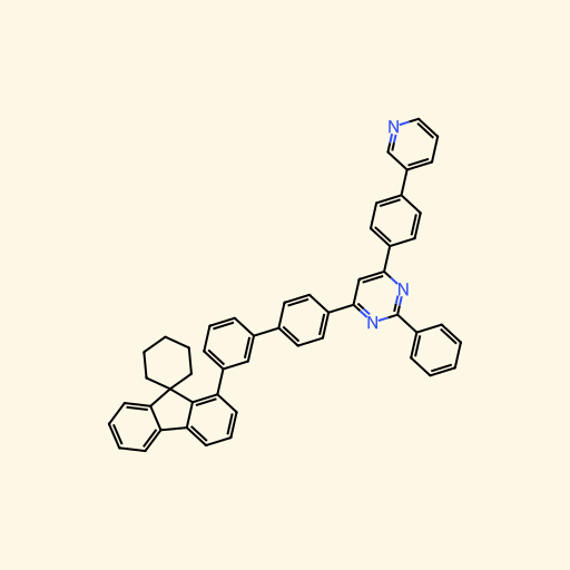 c1ccc(-c2nc(-c3ccc(-c4cccnc4)cc3)cc(-c3ccc(-c4cccc(-c5cccc6c5C5(CCCCC5)c5ccccc5-6)c4)cc3)n2)cc1